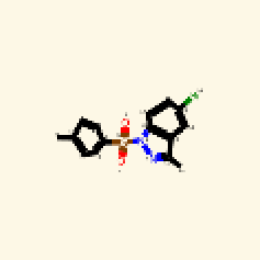 Cc1ccc(S(=O)(=O)n2nc(C)c3cc(Br)[c]cc32)cc1